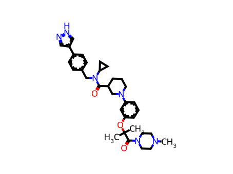 CN1CCN(C(=O)C(C)(C)Oc2cccc(N3CCCC(C(=O)N(Cc4ccc(-c5cn[nH]c5)cc4)C4CC4)C3)c2)CC1